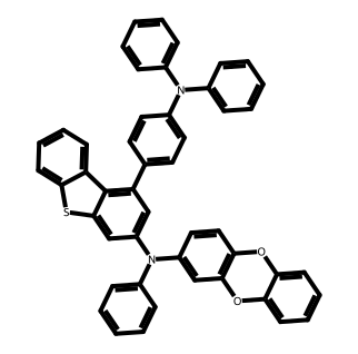 c1ccc(N(c2ccccc2)c2ccc(-c3cc(N(c4ccccc4)c4ccc5c(c4)Oc4ccccc4O5)cc4sc5ccccc5c34)cc2)cc1